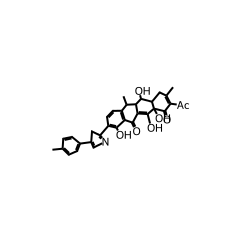 CC(=O)C1=C(C)CC2C(O)C3C(=C(O)C2(O)C1=O)C(=O)c1c(ccc(C2=NC=C(c4ccc(C)cc4)C2)c1O)C3C